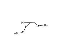 CCCCOCC1NC1OCCCC